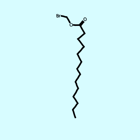 CCCCCCCCCCCCCC(=O)OCBr